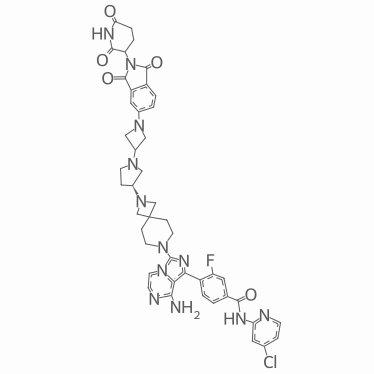 Nc1nccn2c(N3CCC4(CC3)CN([C@H]3CCN(C5CN(c6ccc7c(c6)C(=O)N(C6CCC(=O)NC6=O)C7=O)C5)C3)C4)nc(-c3ccc(C(=O)Nc4cc(Cl)ccn4)cc3F)c12